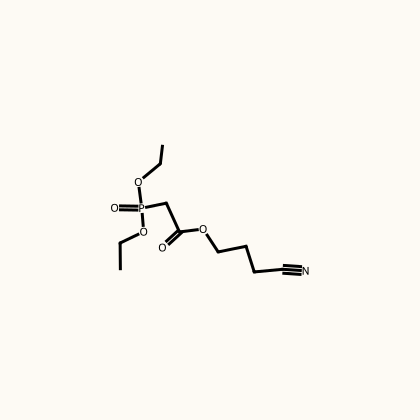 CCOP(=O)(CC(=O)OCCCC#N)OCC